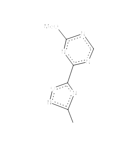 COc1ncnc(-c2nc(C)no2)n1